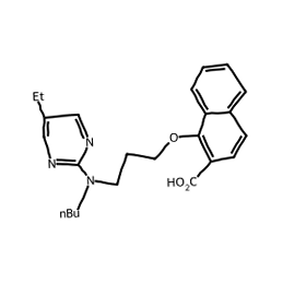 CCCCN(CCCOc1c(C(=O)O)ccc2ccccc12)c1ncc(CC)cn1